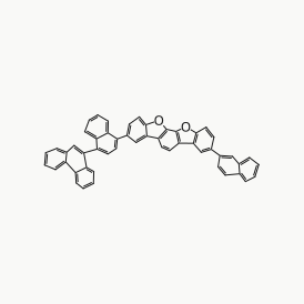 c1ccc2cc(-c3ccc4oc5c(ccc6c7cc(-c8ccc(-c9cc%10ccccc%10c%10ccccc9%10)c9ccccc89)ccc7oc65)c4c3)ccc2c1